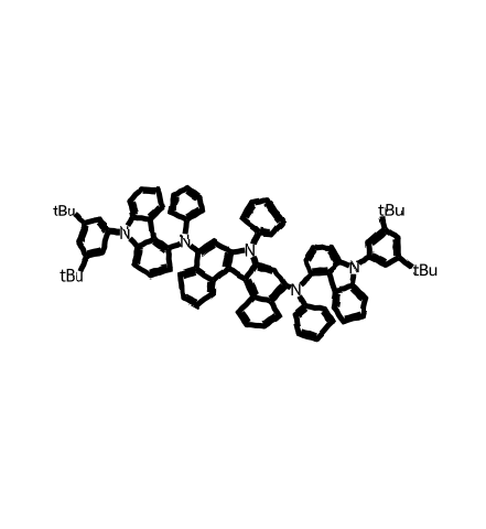 CC(C)(C)c1cc(-n2c3ccccc3c3c(N(c4ccccc4)c4cc5c(c6ccccc46)c4c6ccccc6c(N(c6ccccc6)c6cccc7c6c6ccccc6n7-c6cc(C(C)(C)C)cc(C(C)(C)C)c6)cc4n5-c4ccccc4)cccc32)cc(C(C)(C)C)c1